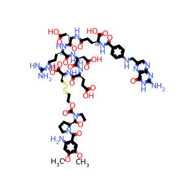 COc1cc(N)c(C(=O)N2CCC[C@H]2C2OCCN2C(=O)OCCSSC[C@H](NC(=O)[C@H](CCC(=O)O)NC(=O)[C@H](CC(=O)O)NC(=O)[C@H](CCCNC(=N)N)NC(=O)[C@H](CC(=O)O)NC(=O)CC[C@H](NC(=O)c2ccc(NCc3cnc4nc(N)[nH]c(=O)c4n3)cc2)C(=O)O)C(=O)O)cc1OC